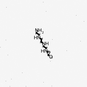 NCCNCCNCCNOC=O